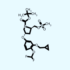 CC(C)(C)OC(=O)N1C[C@@H](Oc2ccc(OC(F)F)c(OCC3CC3)c2)C[C@@H]1COS(C)(=O)=O